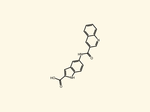 O=C(Nc1ccc2[nH]c(C(=O)O)cc2c1)c1cnc2ccccc2c1